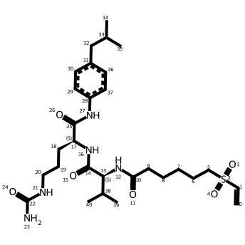 C=CS(=O)(=O)CCCCCC(=O)N[C@H](C(=O)N[C@@H](CCCNC(N)=O)C(=O)Nc1ccc(CC(C)C)cc1)C(C)C